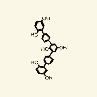 Oc1ccc(O)c(-c2ccc(-c3cc(O)cc(-c4ccc(-c5cc(O)ccc5O)cc4)c3O)cc2)c1